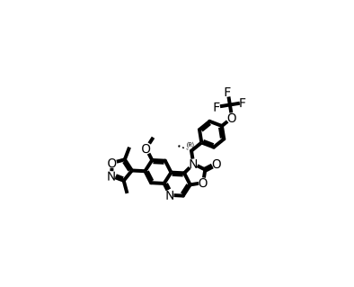 COc1cc2c(cc1-c1c(C)noc1C)ncc1oc(=O)n([C@H](C)c3ccc(OC(F)(F)F)cc3)c12